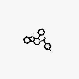 O=C(c1ccc(F)cc1)N1CCc2c([nH]c3ccccc23)C1c1ccccc1